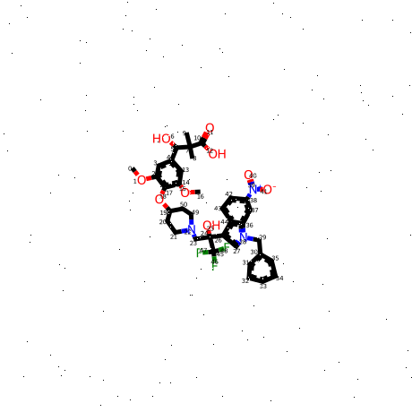 COc1cc(C(O)C(C)(C)C(=O)O)cc(OC)c1OC1CCN(CC(O)(c2cn(Cc3ccccc3)c3cc([N+](=O)[O-])ccc23)C(F)(F)F)CC1